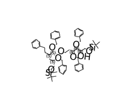 CC(C)(C)[Si](C)(C)OC[C@H](C[C@H](CCc1ccccc1)[C@@H](COCC[C@@H](OCc1ccccc1)[C@H](OCc1ccccc1)[C@H](O)CO[Si](C)(C)C(C)(C)C)OCc1ccccc1)OCc1ccccc1